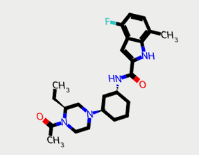 CC[C@H]1CN([C@@H]2CCC[C@@H](NC(=O)c3cc4c(F)ccc(C)c4[nH]3)C2)CCN1C(C)=O